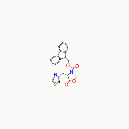 O=C1OCN(C(=O)OCC2c3ccccc3-c3ccccc32)C1Cc1cscn1